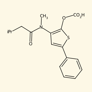 CC(C)CC(=O)N(C)c1cc(-c2ccccc2)sc1OC(=O)O